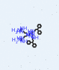 N=C(N)NCCCN(CCCNC(=N)N)c1nc(NCCC(c2ccccc2)c2ccccc2)nc(NCCC(c2ccccc2)c2ccccc2)n1